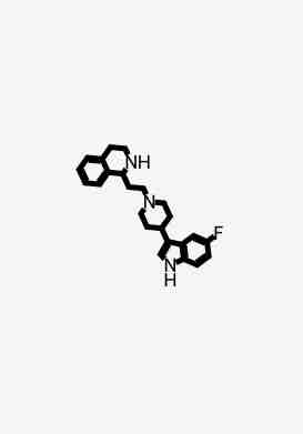 Fc1ccc2[nH]cc(C3CCN(CCC4NCCc5ccccc54)CC3)c2c1